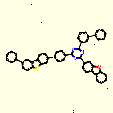 c1ccc(-c2cccc(-c3nc(-c4ccc(-c5ccc6c(c5)sc5ccc(-c7ccccc7)cc56)cc4)nc(-c4ccc5c(c4)oc4ccccc45)n3)c2)cc1